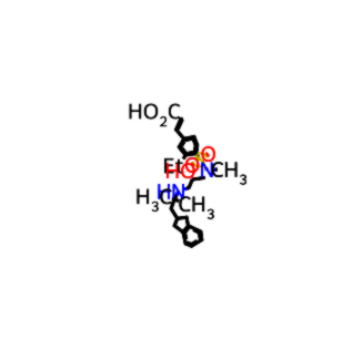 CCc1cc(/C=C/C(=O)O)ccc1S(=O)(=O)N(C)CC(O)CNC(C)(C)CC1Cc2ccccc2C1